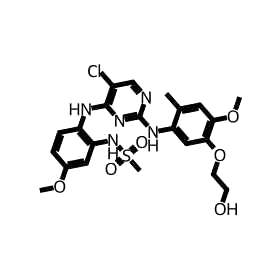 COc1ccc(Nc2nc(Nc3cc(OCCO)c(OC)cc3C)ncc2Cl)c(NS(C)(=O)=O)c1